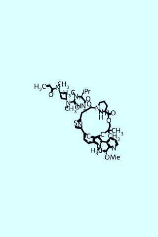 C=CC(=O)N(C)[C@H]1C[C@H](N(C)C(=O)N(C)[C@H](C(=O)N[C@H]2Cc3nc(cs3)-c3ccc4c(c3)c(c(-c3cccnc3[C@H](C)OC)n4CC)CC(C)(C)COC(=O)[C@@H]3CCCN(N3)C2=O)C(C)C)C1